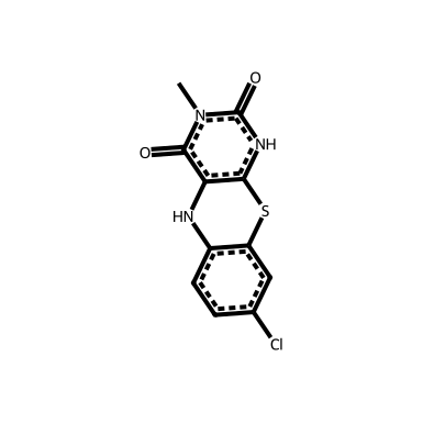 Cn1c(=O)[nH]c2c(c1=O)Nc1ccc(Cl)cc1S2